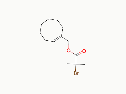 CC(C)(Br)C(=O)OC/C1=C/CCCCCC1